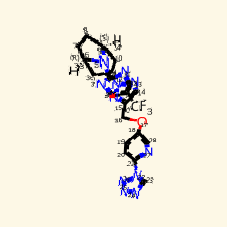 FC(F)(F)c1cnc(N2[C@@H]3CC[C@H]2C[C@H](n2ncc(COc4ccc(-n5cnnn5)nc4)n2)C3)nc1